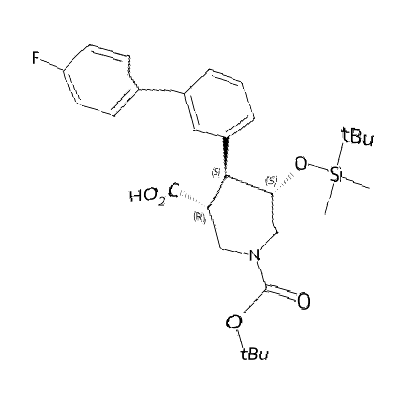 CC(C)(C)OC(=O)N1C[C@H](C(=O)O)[C@@H](c2cccc(-c3ccc(F)cc3)c2)[C@H](O[Si](C)(C)C(C)(C)C)C1